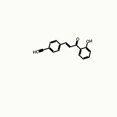 C#Cc1ccc(C=CC(=O)c2ccccc2O)cc1